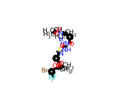 CC(C)(C)OC(=O)NCC(C)(C)c1cccc(C(=O)NCC(=O)Nc2nc(-c3cccc(B4OC(C)(C)C(C)(CC(O)c5cc(Br)cc(C(F)(F)F)c5)O4)c3)cs2)c1